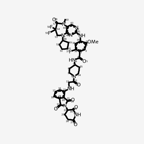 COc1cc(C(=O)NC2CCN(C(=O)CNc3cccc4c3C(=O)N(C3CCC(=O)NC3=O)C4=O)CC2)c(F)cc1Nc1ncc2c(n1)N(C1CCCC1)CC(F)(F)C(=O)N2C